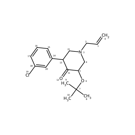 C=CCN1CC(OC(C)(C)C)C(=O)C(c2cccc(Cl)c2)C1